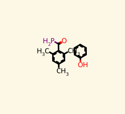 Cc1cc(C)c(C(=O)P)c(C)c1.Oc1ccccc1